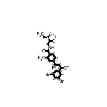 CN(CC(F)(F)F)C(=O)CNC(=O)c1ccc(/C(F)=C/C(c2cc(Br)cc(Br)c2)C(F)(F)F)cc1C(F)(F)F